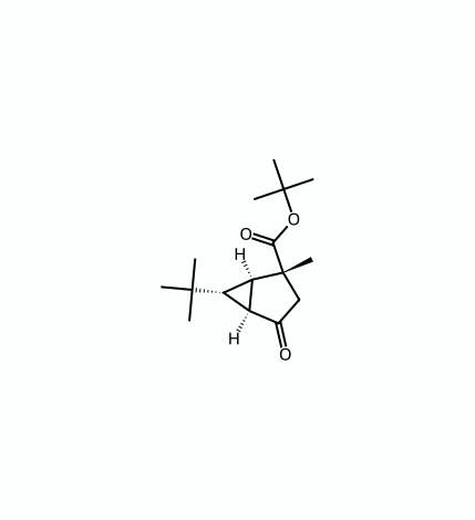 CC(C)(C)OC(=O)[C@]1(C)CC(=O)[C@H]2[C@H](C(C)(C)C)[C@H]21